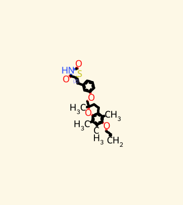 C=CCOc1c(C)c(C)c2c(c1C)CCC(C)(COc1cccc(/C=C3\SC(=O)NC3=O)c1)O2